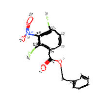 O=C(OCc1ccccc1)c1ccc(F)c([N+](=O)[O-])c1F